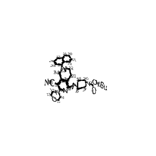 CC(C)(C)OC(=O)N1CCN(c2nc(N3CCOCC3)c(C#N)c3c2CCN(c2cccc4ccccc24)C3)CC1